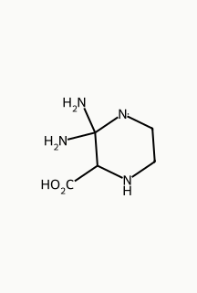 NC1(N)[N]CCNC1C(=O)O